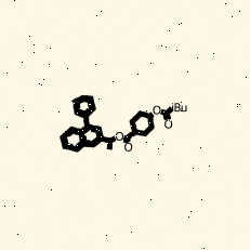 CCC(C)C(=O)OC1CCC(C(=O)OC(C)c2cc(-c3ccccc3)c3ccccc3c2)CC1